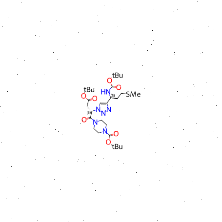 CSCC[C@H](NC(=O)OC(C)(C)C)c1cn([C@@H](CC(=O)OC(C)(C)C)C(=O)N2CCN(C(=O)OC(C)(C)C)CC2)nn1